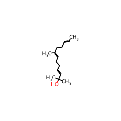 CC=CCCC(C)=CCCC=CC(C)(C)O